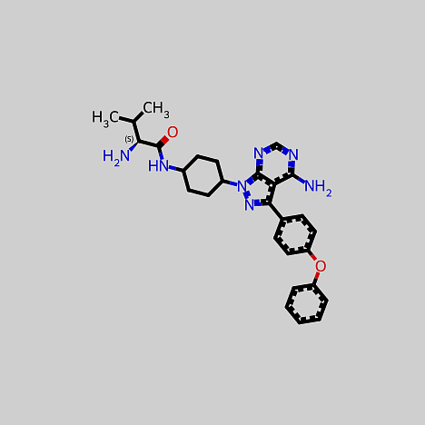 CC(C)[C@H](N)C(=O)NC1CCC(n2nc(-c3ccc(Oc4ccccc4)cc3)c3c(N)ncnc32)CC1